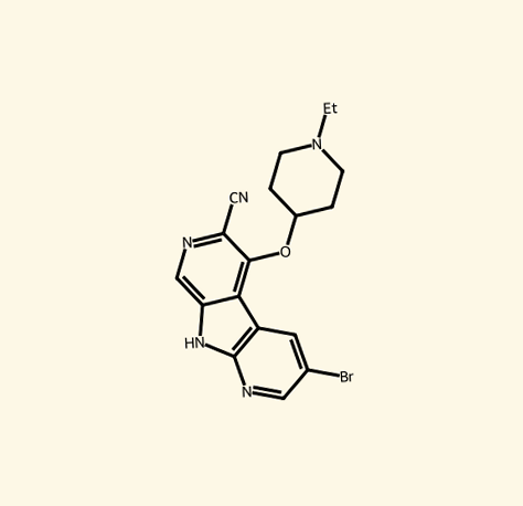 CCN1CCC(Oc2c(C#N)ncc3[nH]c4ncc(Br)cc4c23)CC1